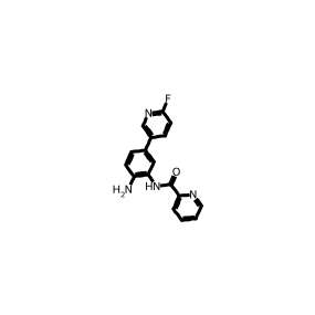 Nc1ccc(-c2ccc(F)nc2)cc1NC(=O)c1ccccn1